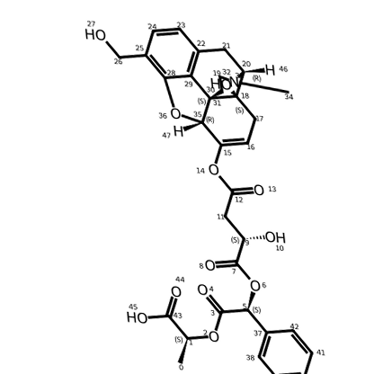 C[C@H](OC(=O)[C@@H](OC(=O)[C@@H](O)CC(=O)OC1=CC[C@@]2(O)[C@H]3Cc4ccc(CO)c5c4[C@@]2(CCN3C)[C@H]1O5)c1ccccc1)C(=O)O